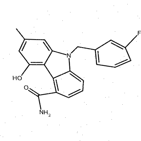 Cc1cc(O)c2c3c(C(N)=O)cccc3n(Cc3cccc(F)c3)c2c1